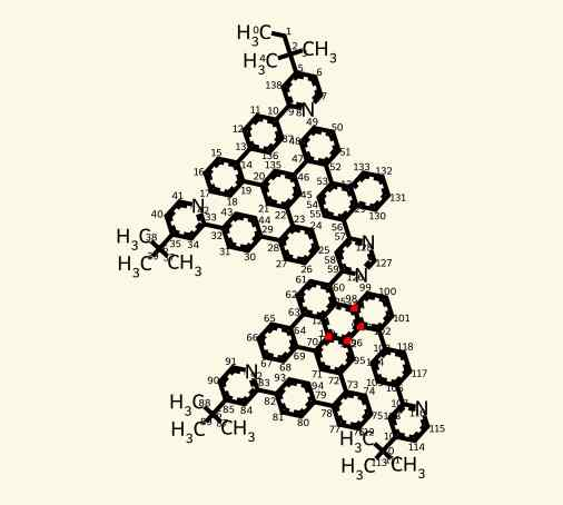 CCC(C)(C)c1ccnc(-c2ccc(-c3ccccc3-c3cc(-c4ccccc4-c4ccc(-c5cc(C(C)(C)C)ccn5)cc4)cc(-c4ccccc4-c4ccc(-c5cc(-c6ccc(-c7ccccc7-c7cc(-c8ccccc8-c8ccc(-c9cc(C(C)(C)C)ccn9)cc8)cc(-c8ccccc8-c8ccc(-c9cc(C(C)(C)C)ccn9)cc8)c7)c7ccccc67)ncn5)c5ccccc45)c3)cc2)c1